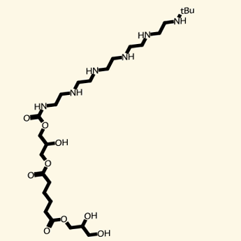 CC(C)(C)NCCNCCNCCNCCNCCNC(=O)OCC(O)COC(=O)CCCCC(=O)OCC(O)CO